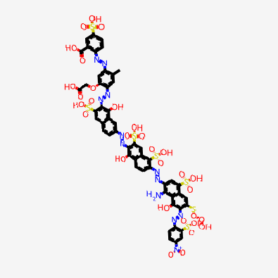 Cc1cc(N=Nc2c(S(=O)(=O)O)cc3ccc(N=Nc4c(S(=O)(=O)O)cc5c(S(=O)(=O)O)c(N=Nc6cc(S(=O)(=O)O)c7cc(SOOO)c(N=Nc8ccc([N+](=O)[O-])cc8S(=O)(=O)O)c(O)c7c6N)ccc5c4O)cc3c2O)c(OCC(=O)O)cc1N=Nc1ccc(S(=O)(=O)O)cc1C(=O)O